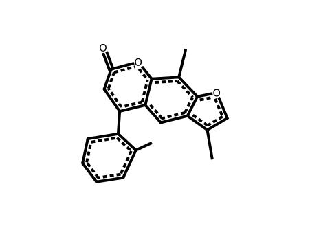 Cc1ccccc1-c1cc(=O)oc2c(C)c3occ(C)c3cc12